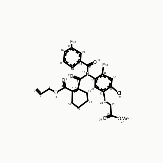 C=CCOC(=O)C1=C(C(=O)N(C(=O)c2cccc(F)c2)c2cc(SCC(=O)OC)c(Cl)cc2F)CCCC1